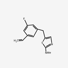 C=Cc1cc(F)cc(Cc2cnc(NC)s2)c1